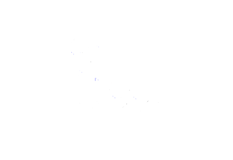 CC1(C)S[C@@H]2C(NC(=O)C(NC(=O)c3cnc4cccnc4c3N)c3ccc(O)cc3)C(=O)N2[C@H]1C(=O)O